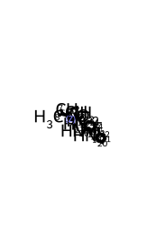 C=C(/N=C\C(C)=C(C)C)C(=O)NC1CCCC(Nc2ccccc2F)=C1C=N